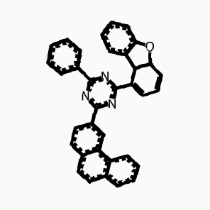 C1=CC2Oc3ccccc3C2C(c2nc(-c3ccccc3)nc(-c3ccc4ccc5ccccc5c4c3)n2)=C1